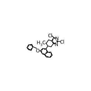 CC1Cc2c(Cl)nc(Cl)nc2CC1c1cc(OCc2ccccc2)cc2ccccc12